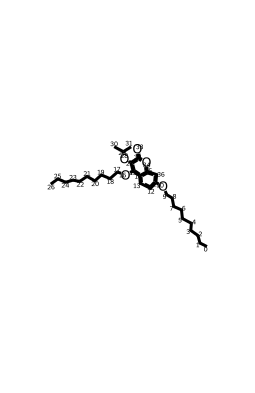 CCCCCCCCCCOc1ccc2c(OCCCCCCCCCC)c(OC(C)C)c(=O)oc2c1